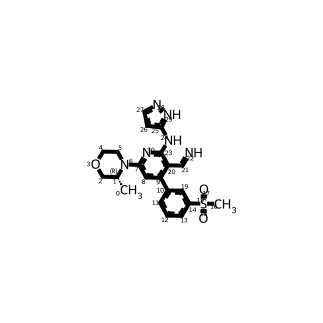 C[C@@H]1COCCN1c1cc(-c2cccc(S(C)(=O)=O)c2)c(C=N)c(Nc2ccn[nH]2)n1